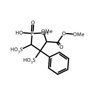 COOC(=O)C(OC)C(c1ccccc1)(C(P(=O)(O)O)S(=O)(=O)O)S(=O)(=O)O